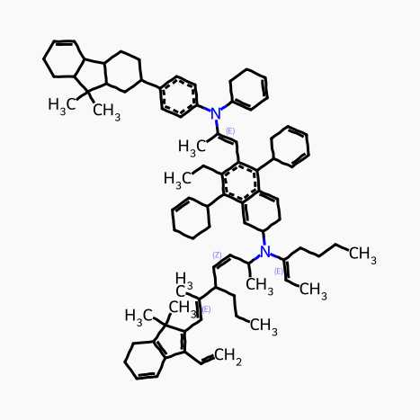 C=CC1=C(/C=C(\C)C(/C=C\C(C)N(/C(=C/C)CCCC)C2C=c3c(C4C=CCCC4)c(CC)c(/C=C(\C)N(C4=CC=CCC4)c4ccc(C5CCC6C7C=CCCC7C(C)(C)C6C5)cc4)c(C4C=CC=CC4)c3=CC2)CCC)C(C)(C)C2=C1C=CCC2